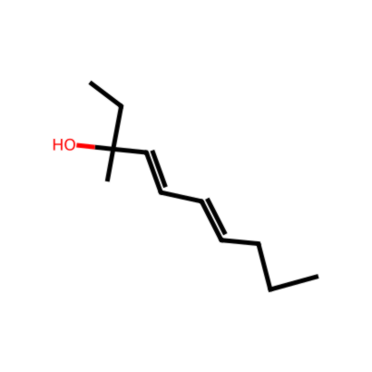 CCC/C=C/C=C/C(C)(O)CC